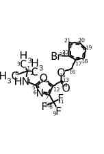 CC(C)(C)Nc1nc(C(F)(F)F)c(C(=O)OCc2ccccc2Br)o1